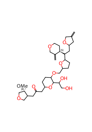 C=C1COC(CC(C2CCC(COC3CCC(CC(=O)CC4COC[C@@H]4OC)OC3C(O)CO)O2)[C@@H]2CCOCC2=C)C1